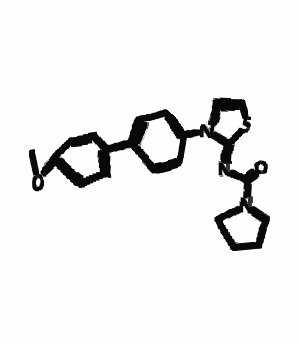 COc1ccc(-c2ccc(-n3ccsc3=NC(=O)N3CCCC3)cc2)cc1